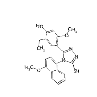 CCc1cc(-c2nnc(S)n2-c2ccc(OC)c3ccccc23)c(OC)cc1O